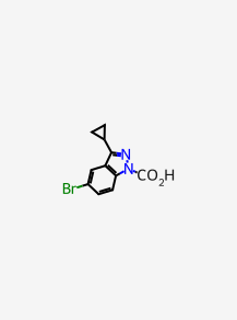 O=C(O)n1nc(C2CC2)c2cc(Br)ccc21